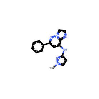 CC(C)(C)n1ccc(Nc2cc(-c3ccccc3)nn3ccnc23)n1